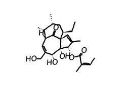 C/C=C(/C)C(=O)O[C@H]1C(C)=C[C@]23C(=O)[C@@H](C=C(CO)[C@@H](O)[C@]12O)[C@H](C)[C@H](C)C[C@H]3CC